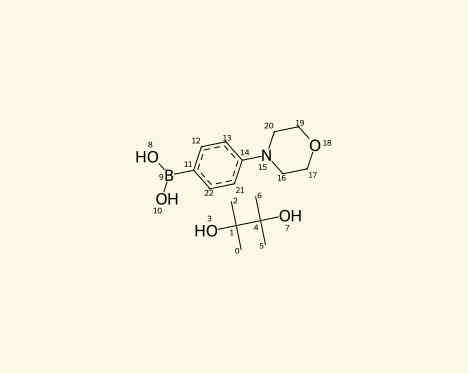 CC(C)(O)C(C)(C)O.OB(O)c1ccc(N2CCOCC2)cc1